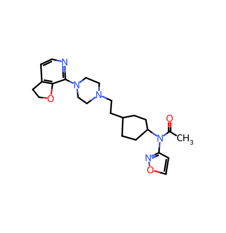 CC(=O)N(c1ccon1)C1CCC(CCN2CCN(c3nccc4c3OCC4)CC2)CC1